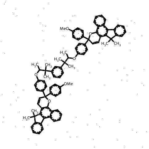 [CH2]C(Oc1ccc(C2(c3ccc(OC)cc3)C=Cc3c4c(c5ccccc5c3O2)-c2ccccc2C4(C)C)cc1)C(C)(C)c1cccc(C(C)(C)C([CH2])Oc2ccc(C3(c4ccc(OC)cc4)C=Cc4c5c(c6ccccc6c4O3)-c3ccccc3C5(C)C)cc2)c1